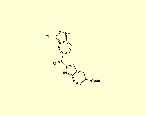 COc1ccc2[nH]c(C(=O)c3ccc4[nH]cc(Cl)c4c3)cc2c1